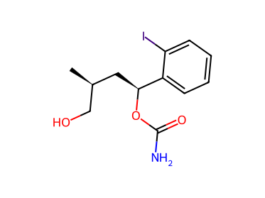 C[C@H](CO)C[C@H](OC(N)=O)c1ccccc1I